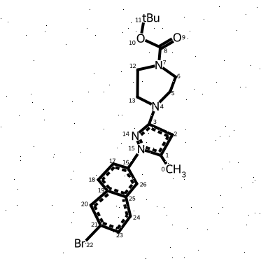 Cc1cc(N2CCN(C(=O)OC(C)(C)C)CC2)nn1-c1ccc2cc(Br)ccc2c1